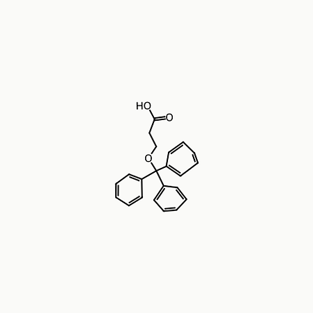 O=C(O)CCOC(c1ccccc1)(c1ccccc1)c1ccccc1